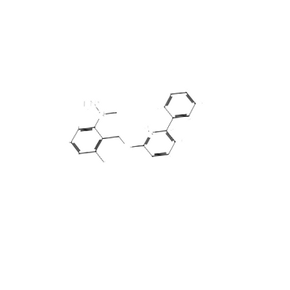 Cc1cccc(N(C)N)c1COc1cccc(-c2ccccc2)n1